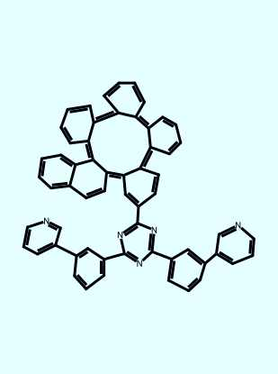 c1cncc(-c2cccc(-c3nc(-c4cccc(-c5cccnc5)c4)nc(-c4ccc5c6ccccc6c6ccccc6c6ccccc6c6c7ccccc7ccc6c5c4)n3)c2)c1